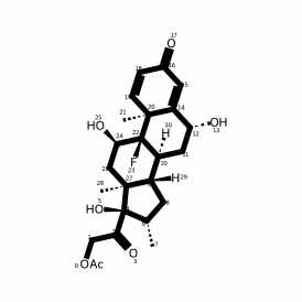 CC(=O)OCC(=O)[C@@]1(O)[C@@H](C)C[C@H]2[C@@H]3C[C@@H](O)C4=CC(=O)C=C[C@]4(C)[C@@]3(F)[C@H](O)C[C@@]21C